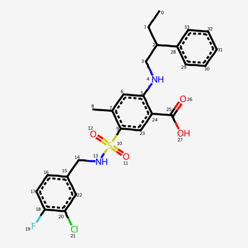 CCC(CNc1cc(C)c(S(=O)(=O)NCc2ccc(F)c(Cl)c2)cc1C(=O)O)c1ccccc1